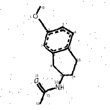 COc1ccc2c(c1)CC(NC(C)=O)CC2